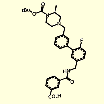 C[C@H]1CN(Cc2cccc(-c3cc(CNC(=O)c4cccc(C(=O)O)c4)ccc3F)c2)CCN1C(=O)OC(C)(C)C